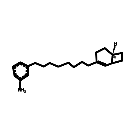 Nc1cccc(CCCCCCCCC2=CC3CC[C@@H]3CC2)c1